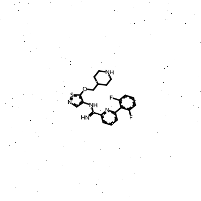 N=C(Nc1cnsc1OCC1CCNCC1)c1cccc(-c2c(F)cccc2F)n1